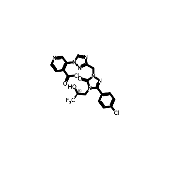 O=C(Cl)c1ccncc1-n1cnc(Cn2nc(-c3ccc(Cl)cc3)n(C[C@H](O)C(F)(F)F)c2=O)n1